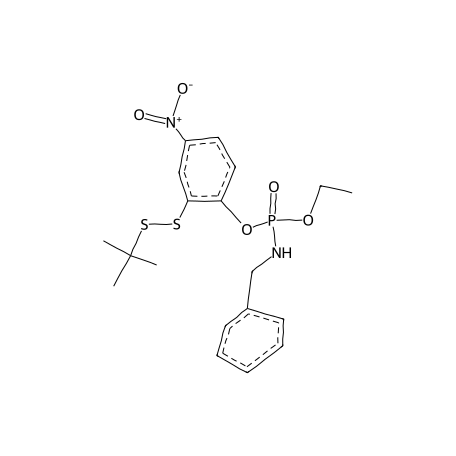 CCOP(=O)(NCc1ccccc1)Oc1ccc([N+](=O)[O-])cc1SSC(C)(C)C